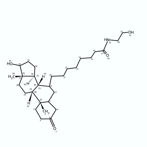 C[C@]12CCC(=O)CC1CC(CCCCCCCC(=O)NCCO)[C@@H]1[C@H]2CC[C@]2(C)C(O)CC[C@@H]12